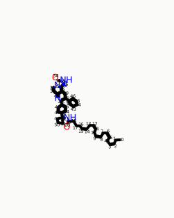 CC/C=C\C/C=C\C/C=C\C/C=C\C/C=C\CCCC(=O)NC1(c2ccc(-c3nc4ccn5c(=O)[nH]nc5c4cc3-c3ccccc3)cc2)CCC1